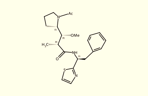 CO[C@H]([C@@H](C)C(=O)N[C@@H](Cc1ccccc1)c1nccs1)[C@@H]1CCCN1C(C)=O